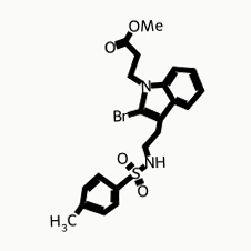 COC(=O)CCn1c(Br)c(CCNS(=O)(=O)c2ccc(C)cc2)c2ccccc21